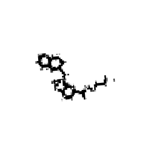 CC(=NOCCN)c1cnc2nnn(Cc3ccc4ncccc4c3)c2n1